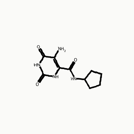 Nc1c(C(=O)NC2CCCC2)[nH]c(=O)[nH]c1=O